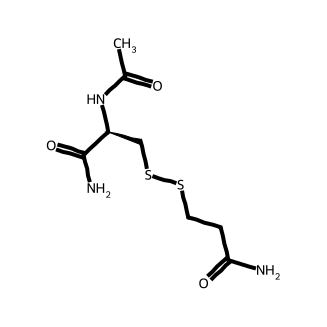 CC(=O)N[C@@H](CSSCCC(N)=O)C(N)=O